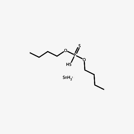 CCCCOP(=S)(S)OCCCC.[SnH2]